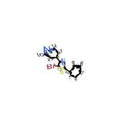 Brc1sc(-c2ccccc2)nc1-c1ccncc1